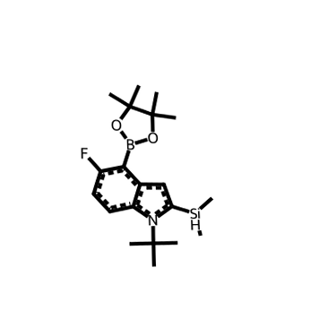 C[SiH](C)c1cc2c(B3OC(C)(C)C(C)(C)O3)c(F)ccc2n1C(C)(C)C